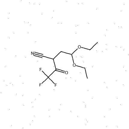 CCOC(CC(C#N)C(=O)C(F)(F)F)OCC